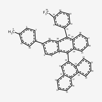 Cc1ccc(-c2ccc3c(-c4cc5ccccc5c5ccccc45)c4ccccc4c(-c4cccc(C(F)(F)F)c4)c3c2)cc1